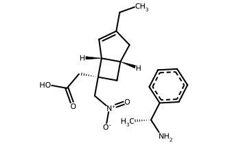 CCC1=C[C@@H]2[C@H](C1)C[C@@]2(CC(=O)O)C[N+](=O)[O-].C[C@@H](N)c1ccccc1